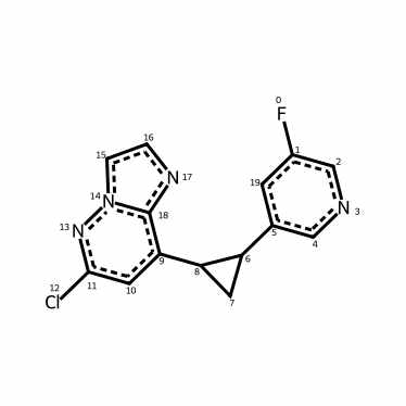 Fc1cncc(C2CC2c2cc(Cl)nn3ccnc23)c1